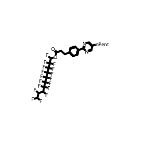 CCCCCc1cnc(-c2ccc(CCC(=O)OC(F)C(F)(F)C(F)(F)C(F)(F)C(F)(F)C(F)(F)C(F)(F)C(F)C(F)C(F)F)cc2)nc1